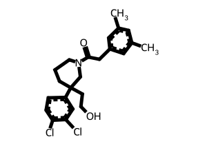 Cc1cc(C)cc(CC(=O)N2CCCC(CCO)(c3ccc(Cl)c(Cl)c3)C2)c1